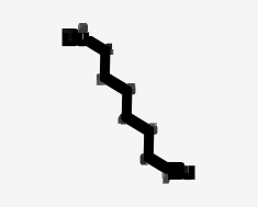 CCC(C)CCCCCCC(C)CC